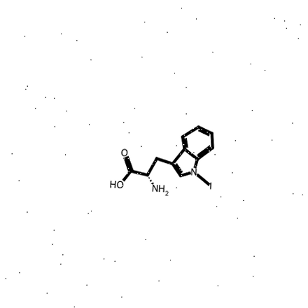 N[C@@H](Cc1cn(I)c2ccccc12)C(=O)O